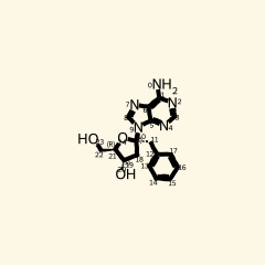 Nc1ncnc2c1ncn2[C@@]1(Cc2ccccc2)C[C@H](O)[C@@H](CO)O1